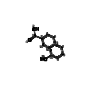 O=C(O)c1ccc2cccc(O)c2c1